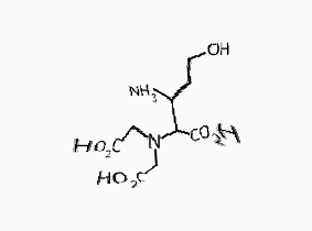 CC(CCO)C(C(=O)O)N(CC(=O)O)CC(=O)O.N